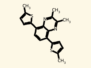 Cc1ccc(-c2ccc(-c3ccc(C)s3)c3nc(C)c(C)nc23)s1